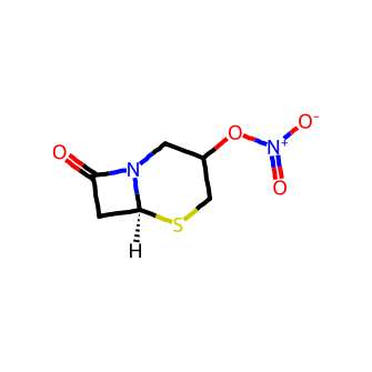 O=C1C[C@@H]2SCC(O[N+](=O)[O-])CN12